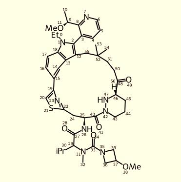 CCn1c(-c2cccnc2[C@H](C)OC)c2c3cc(ccc31)-c1csc(n1)C[C@H](NC(=O)C(C(C)C)N(C)C(=O)N1CC(OC)C1)C(=O)N1CCC[C@H](N1)C(=O)CCC(C)(C)C2